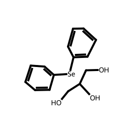 OCC(O)CO.c1ccc([Se]c2ccccc2)cc1